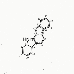 C1=CC2Nc3c(ccc4c3oc3ccccc34)C2C=C1